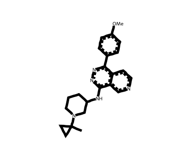 COc1ccc(-c2nnc(NC3CCCN(C4(C)CC4)C3)c3cnccc23)cc1